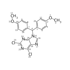 COc1ccc(C(c2ccc(OC)cc2)n2cnc3c(Cl)nc(Cl)nc32)cc1